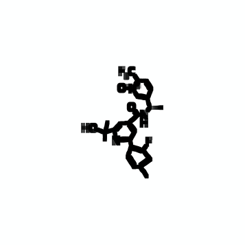 Cc1ccc(-c2cc(C(=O)N[C@H](C)c3ccc(C(F)(F)F)[n+]([O-])c3)cc(C(C)(C)O)n2)c(F)c1